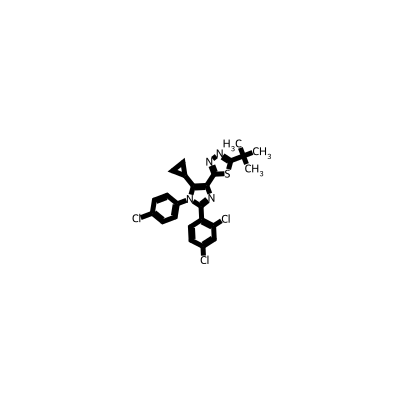 CC(C)(C)c1nnc(-c2nc(-c3ccc(Cl)cc3Cl)n(-c3ccc(Cl)cc3)c2C2CC2)s1